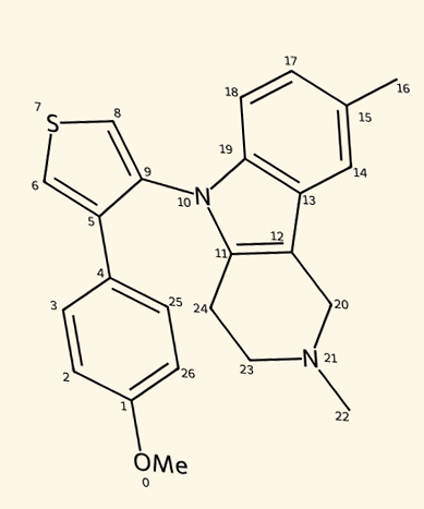 COc1ccc(-c2cscc2-n2c3c(c4cc(C)ccc42)CN(C)CC3)cc1